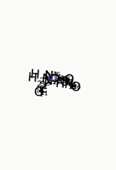 N/C1=C(\N(N)CCCCC(=O)F)CCC2C(CC1)C2COC(=O)NCC=O